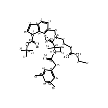 CCOC(=O)CCCN(Cc1ccc2ccn(C(=O)OC(C)(C)C)c2c1)C(=O)C1(C)CCN1C(=O)Cc1cc(C)cc(C)c1